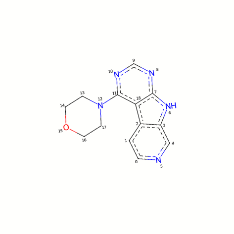 c1cc2c(cn1)[nH]c1ncnc(N3CCOCC3)c12